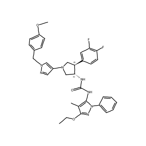 CCOc1nn(-c2ccccc2)c(NC(=O)N[C@@H]2CN(c3cnn(Cc4ccc(OC)cc4)c3)C[C@H]2c2ccc(F)c(F)c2)c1C